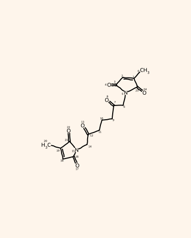 CC1=CC(=O)N(CC(=O)CCCC(=O)CN2C(=O)C=C(C)C2=O)C1=O